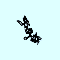 Cc1c(C(=O)N2CCN3CC(F)(F)C[C@H]3C2)cnn1-c1nn2cccc2c(=O)[nH]1